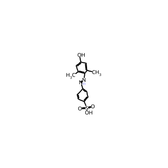 Cc1cc(O)cc(C)c1/N=N/c1ccc(S(=O)(=O)O)cc1